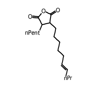 CCCC=CCCCCCC1C(=O)OC(=O)C1CCCCC